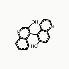 Oc1ccc2ncccc2c1-c1c(O)cnc2ccccc12